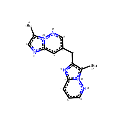 CC(C)(C)c1cnc2cc(Cc3nc4cccnn4c3C(C)(C)C)cnn12